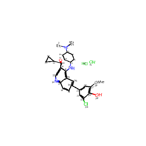 CCN(CC)C1CCC(Nc2c(C(=O)C3CC3)cnc3ccc(-c4cc(Cl)c(O)c(OC)c4)cc23)CC1.Cl.Cl